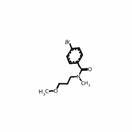 COCCCN(C)C(=O)c1ccc(Br)cc1